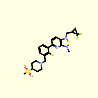 CN1SN(CC2CC2(F)F)c2ccc(-c3cccc(CN4CCC(S(C)(=O)=O)CC4)c3F)nc21